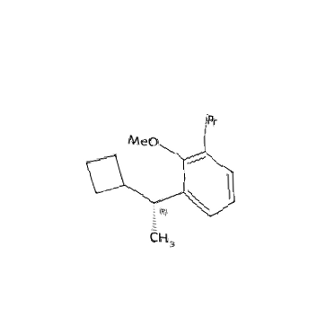 COc1c(C(C)C)cccc1[C@H](C)C1CCC1